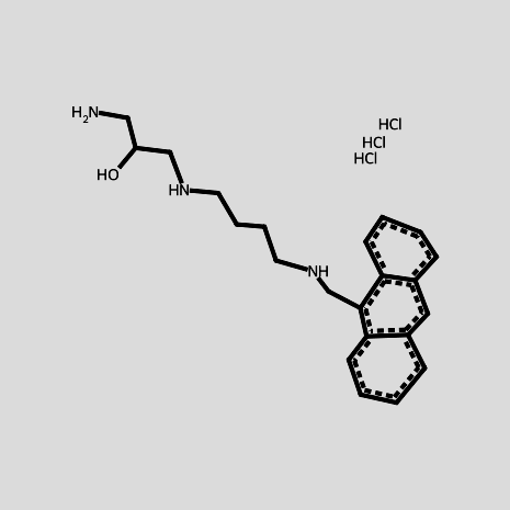 Cl.Cl.Cl.NCC(O)CNCCCCNCc1c2ccccc2cc2ccccc12